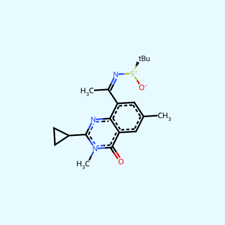 C/C(=N/[S@+]([O-])C(C)(C)C)c1cc(C)cc2c(=O)n(C)c(C3CC3)nc12